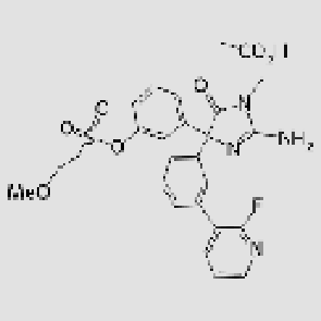 CC(=O)O.COCCS(=O)(=O)Oc1cccc(C2(c3cccc(-c4cccnc4F)c3)N=C(N)N(C)C2=O)c1